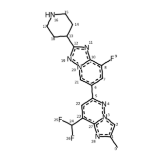 Cc1cn2nc(-c3cc(F)c4nc(C5CCNCC5)nn4c3)cc(C(F)F)c2n1